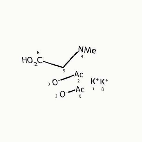 CC(=O)[O-].CC(=O)[O-].CNCC(=O)O.[K+].[K+]